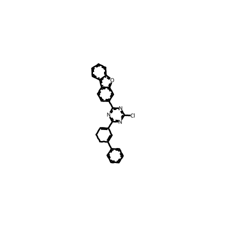 Clc1nc(C2=CCCC(c3ccccc3)=C2)nc(-c2ccc3c(c2)oc2ccccc23)n1